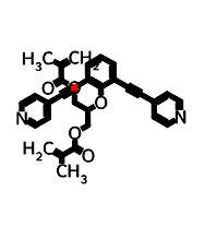 C=C(C)C(=O)OCC(COC(=O)C(=C)C)Oc1c(C#Cc2ccncc2)cccc1C#Cc1ccncc1